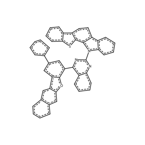 c1ccc(-c2cc(-c3nc(-n4c5ccccc5c5ccc6c7ccccc7sc6c54)nc4ccccc34)c3oc4cc5ccccc5cc4c3c2)cc1